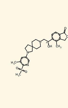 Cc1cc(N2CCC3(CCN(C[C@H](O)c4ccc5c(c4C)COC5=O)CC3)C2)cnc1S(C)(=O)=O